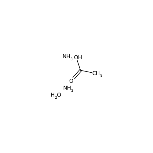 CC(=O)O.N.N.O